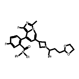 CCN(C(=O)c1cc(F)ccc1-c1cc(C2CN(C(CCC3OCCO3)C(C)C)C2)cn2c(C)nc(F)c12)C(C)C